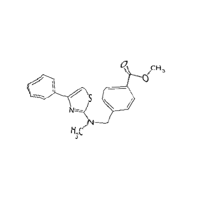 COC(=O)c1ccc(CN(C)c2nc(-c3ccccc3)cs2)cc1